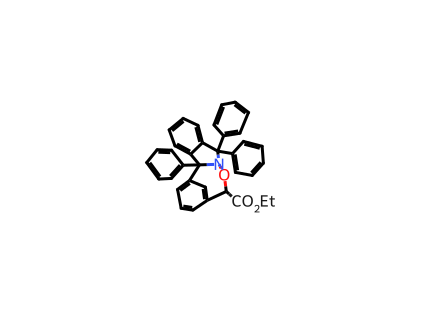 CCOC(=O)C1ON2C(c3ccccc3)(c3ccccc3)c3ccccc3C2(c2ccccc2)c2cccc1c2